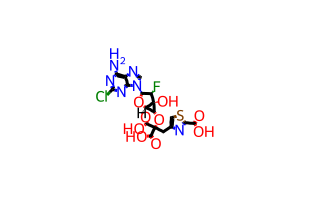 Nc1nc(Cl)nc2c1ncn2[C@@H]1O[C@@H]2C(OC(Cc3csc(C(=O)O)n3)(C(=O)O)C(=O)O)[C@]2(O)[C@@H]1F